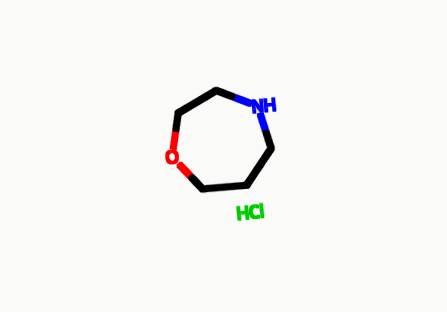 C1CNCCOC1.Cl